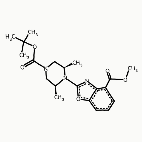 COC(=O)c1cccc2oc(N3[C@H](C)CN(C(=O)OC(C)(C)C)C[C@@H]3C)nc12